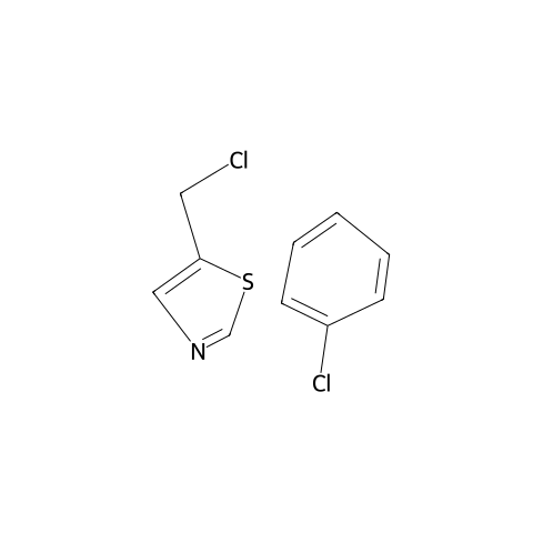 ClCc1cncs1.Clc1ccccc1